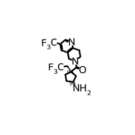 N[C@@H]1CC[C@](CC(F)(F)F)(C(=O)N2CCc3ncc(C(F)(F)F)cc3C2)C1